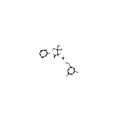 O=C(NCc1cc(F)cc(Cl)c1)OC1(O)C(=O)N(c2ccccc2)CC12COC2